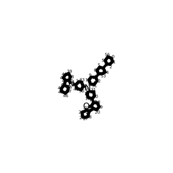 c1ccc(-c2ccc(-c3ccc(N(c4ccc(-c5cccc6c5oc5ccccc56)cc4)c4ccc(-n5c6ccccc6c6ccccc65)cc4)cc3)cc2)cc1